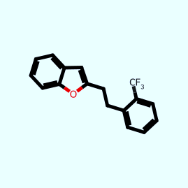 FC(F)(F)c1ccccc1CCc1cc2ccccc2o1